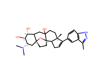 Cc1n[nH]c2ccc(C3=CCC4[C@@]56CC[C@]7(C[C@H](N(C)C)[C@@H](O)[C@H](O)C7CC5(O)CC[C@]34C)O6)cc12